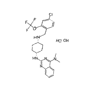 CN(C)c1nc(N[C@H]2CC[C@@H](NCc3ccc(Cl)cc3OC(F)(F)F)CC2)nc2ccccc12.Cl.Cl